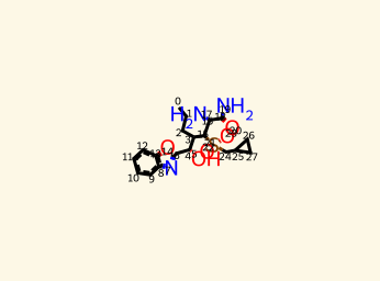 CCCC(C(O)c1nc2ccccc2o1)C(C(N)C(N)=O)S(=O)(=O)CC1CC1